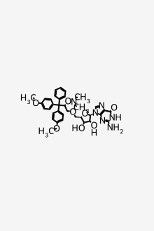 COc1ccc(C(c2ccccc2)(c2ccc(OC)cc2)C(COC[C@H]2O[C@@H](n3cnc4c(=O)[nH]c(N)nc43)C(O)C2O)ON(C)C)cc1